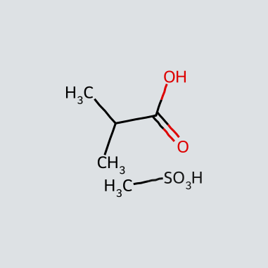 CC(C)C(=O)O.CS(=O)(=O)O